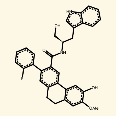 COc1cc2c(cc1O)-c1cc(C(=O)N[C@@H](CO)Cc3c[nH]c4ccccc34)c(-c3ccccc3F)cc1CC2